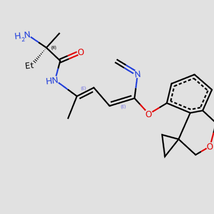 C=N/C(=C\C=C(/C)NC(=O)[C@](C)(N)CC)Oc1cccc2c1C1(CC1)COC2